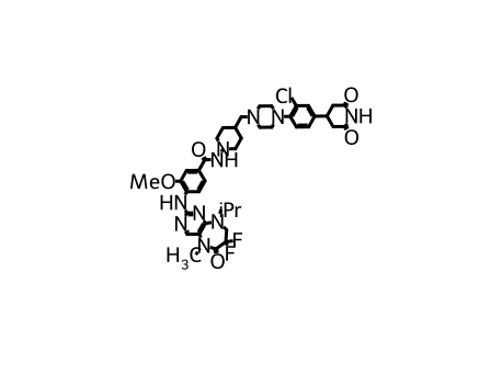 COc1cc(C(=O)NN2CCC(CN3CCN(c4ccc(C5CC(=O)NC(=O)C5)cc4Cl)CC3)CC2)ccc1Nc1ncc2c(n1)N(C(C)C)CC(F)(F)C(=O)N2C